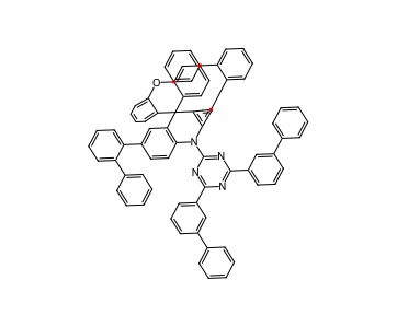 c1ccc(-c2cccc(-c3nc(-c4cccc(-c5ccccc5)c4)nc(N4c5ccc(-c6ccccc6-c6ccccc6)cc5C5(c6ccccc6Oc6ccccc65)c5cc(-c6ccccc6-c6ccccc6)ccc54)n3)c2)cc1